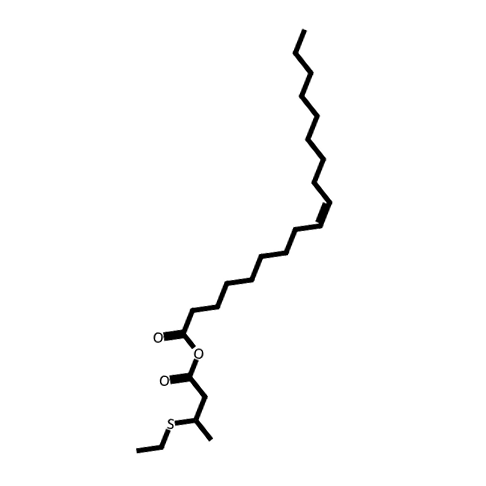 CCCCCCCC/C=C\CCCCCCCC(=O)OC(=O)CC(C)SCC